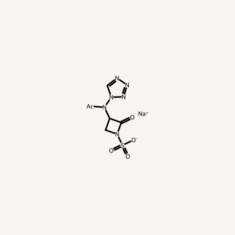 CC(=O)N(C1CN(S(=O)(=O)[O-])C1=O)n1cnnn1.[Na+]